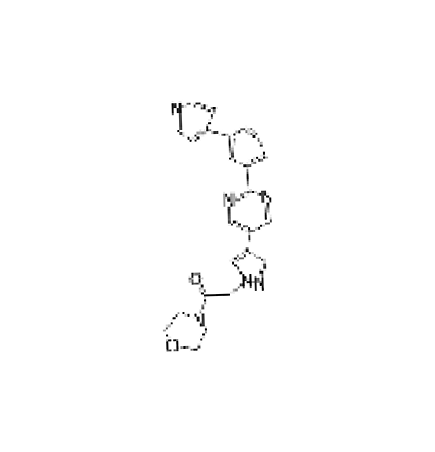 O=C(Cn1cc(-c2cnc(-c3cccc(-c4ccncc4)c3)nc2)cn1)N1CCOCC1